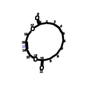 O=C1CCCCCCCCC(=O)OC/C=C\CO1